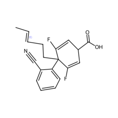 C/C=C/CCC1(c2ccccc2C#N)C(F)=CC(C(=O)O)C=C1F